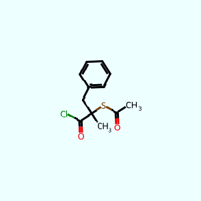 CC(=O)SC(C)(Cc1ccccc1)C(=O)Cl